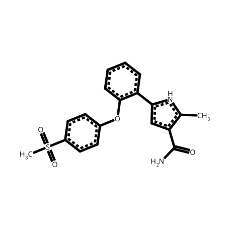 Cc1[nH]c(-c2ccccc2Oc2ccc(S(C)(=O)=O)cc2)cc1C(N)=O